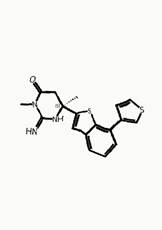 CN1C(=N)N[C@](C)(c2cc3cccc(-c4ccsc4)c3s2)CC1=O